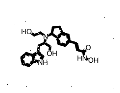 O=C(C=Cc1ccc2c(c1)CCC2N(CCO)C(CO)Cc1c[nH]c2ccccc12)NO